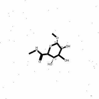 CNC(=O)C1O[C@H](OC)[C@@H](O)C(O)[C@@H]1O